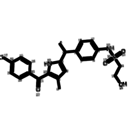 Cc1cc(C(C)c2ccc(NS(=O)(=O)CCO)cc2)[nH]c1C(=O)c1ccc(Cl)cc1